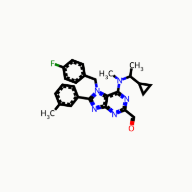 Cc1cccc(-c2nc3nc(C=O)nc(N(C)C(C)C4CC4)c3n2Cc2ccc(F)cc2)c1